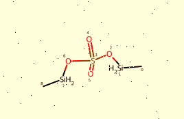 C[SiH2]OS(=O)(=O)O[SiH2]C